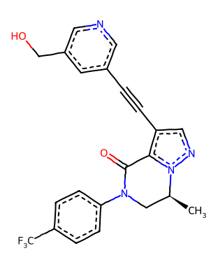 C[C@H]1CN(c2ccc(C(F)(F)F)cc2)C(=O)c2c(C#Cc3cncc(CO)c3)cnn21